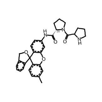 Cc1ccc2c(c1)Oc1cc(NC(=O)[C@@H]3CCCN3C(=O)C3CCCN3)ccc1C21OCc2ccccc21